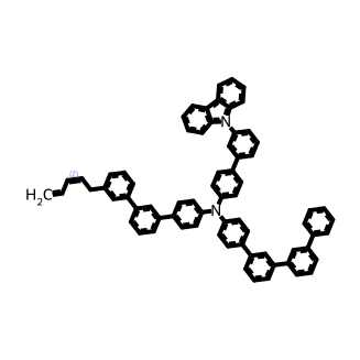 C=C/C=C\Cc1cccc(-c2cccc(-c3ccc(N(c4ccc(-c5cccc(-c6cccc(-c7ccccc7)c6)c5)cc4)c4ccc(-c5cccc(-n6c7ccccc7c7ccccc76)c5)cc4)cc3)c2)c1